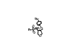 CC(C)S(=O)(=O)NC1COCC1Oc1ccc(Br)cc1